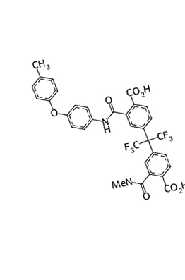 CNC(=O)c1cc(C(c2ccc(C(=O)O)c(C(=O)Nc3ccc(Oc4ccc(C)cc4)cc3)c2)(C(F)(F)F)C(F)(F)F)ccc1C(=O)O